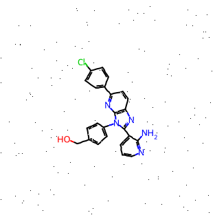 Nc1ncccc1-c1nc2ccc(-c3ccc(Cl)cc3)nc2n1-c1ccc(CO)cc1